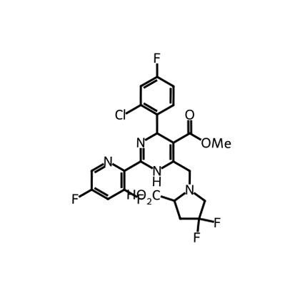 COC(=O)C1=C(CN2CC(F)(F)CC2C(=O)O)NC(c2ncc(F)cc2F)=NC1c1ccc(F)cc1Cl